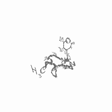 Cn1ccn2c(C3CCOCC3)nnc2c1=O